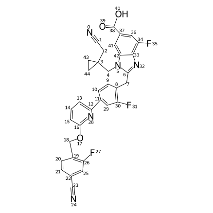 N#CCC1(Cn2c(Cc3ccc(-c4cccc(OCc5ccc(C#N)cc5F)n4)cc3F)nc3c(F)cc(C(=O)O)cc32)CC1